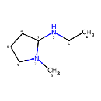 CCNC1CCCN1C